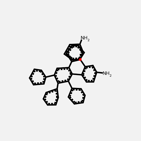 Nc1cccc(-c2cc(N)ccc2-c2c(-c3ccccc3)cc(-c3ccccc3)c(-c3ccccc3)c2-c2ccccc2)c1